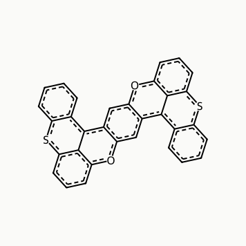 c1cc2oc3cc4c5c6ccccc6sc6cccc(oc4cc3c3c4ccccc4sc(c1)c2-3)c6-5